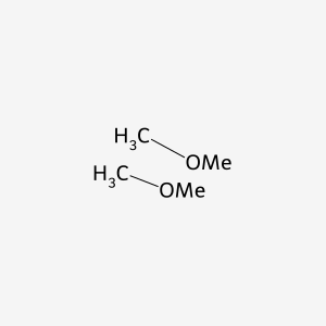 COC.COC